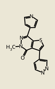 Cn1nc(-c2ccncc2)c2scc(-c3ccnnc3)c2c1=O